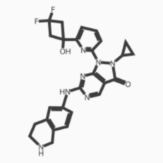 O=c1c2cnc(Nc3ccc4c(c3)CCNC4)nc2n(-c2cccc(C3(O)CC(F)(F)C3)n2)n1C1CC1